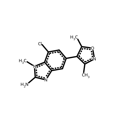 Cc1noc(C)c1-c1cc(Cl)c2c(c1)nc(N)n2C